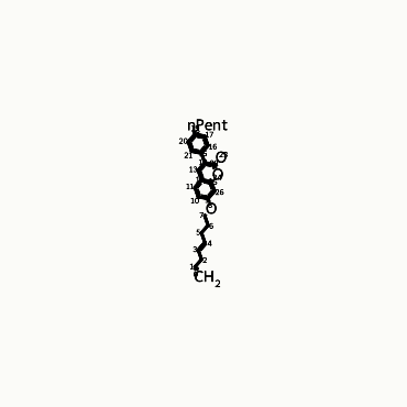 C=CCC=CCCCOc1ccc2cc(-c3ccc(CCCCC)cc3)c(=O)oc2c1